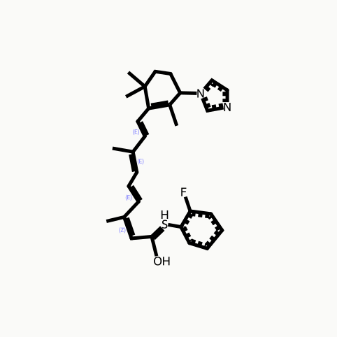 CC1=C(/C=C/C(C)=C/C=C/C(C)=C\C(O)=[SH]c2ccccc2F)C(C)(C)CCC1n1ccnc1